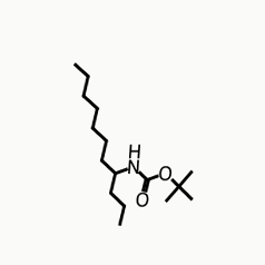 CCCCCCCC(CCC)NC(=O)OC(C)(C)C